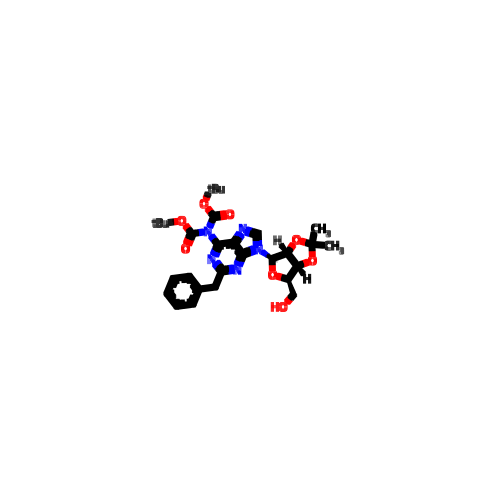 CC(C)(C)OC(=O)N(C(=O)OC(C)(C)C)c1nc(Cc2ccccc2)nc2c1ncn2[C@@H]1O[C@H](CO)[C@H]2OC(C)(C)O[C@H]21